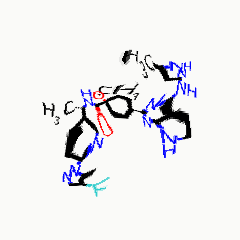 CO[C@]1(C(=O)N[C@@H](C)c2ccc(-n3cc(F)cn3)nc2)CC[C@H](c2nc3c(c(Nc4cc(C)[nH]n4)n2)CCN3)CC1